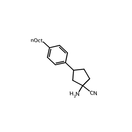 CCCCCCCCc1ccc(C2CCC(N)(C#N)C2)cc1